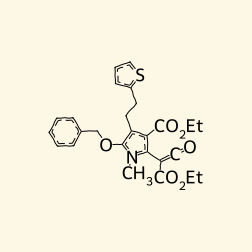 CCOC(=O)C(=C=O)c1c(C(=O)OCC)c(CCc2cccs2)c(OCc2ccccc2)n1C